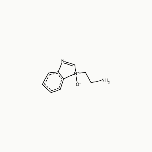 NCC[N+]1([O-])C=Nc2ccccc21